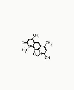 CC1=CC(O)N2COc3c2c1cc1c(C)cc(=O)n(C)c31